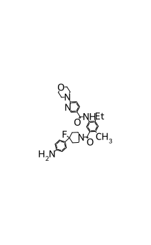 CCc1cc(C)c(C(=O)N2CCC(F)(c3ccc(N)cc3)CC2)cc1NC(=O)c1ccc(N2CCOCC2)nc1